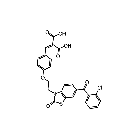 O=C(O)C(=Cc1ccc(OCCn2c(=O)sc3cc(C(=O)c4ccccc4Cl)ccc32)cc1)C(=O)O